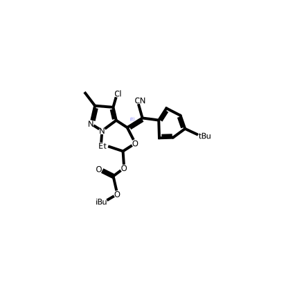 CCC(C)OC(=O)OC(C)O/C(=C(/C#N)c1ccc(C(C)(C)C)cc1)c1c(Cl)c(C)nn1CC